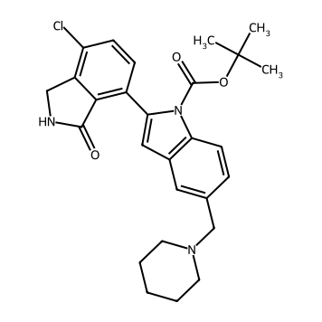 CC(C)(C)OC(=O)n1c(-c2ccc(Cl)c3c2C(=O)NC3)cc2cc(CN3CCCCC3)ccc21